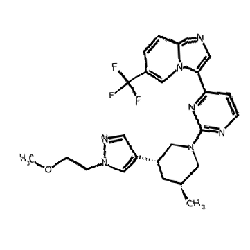 COCCn1cc([C@H]2C[C@H](C)CN(c3nccc(-c4cnc5ccc(C(F)(F)F)cn45)n3)C2)cn1